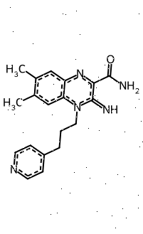 Cc1cc2nc(C(N)=O)c(=N)n(CCCc3ccncc3)c2cc1C